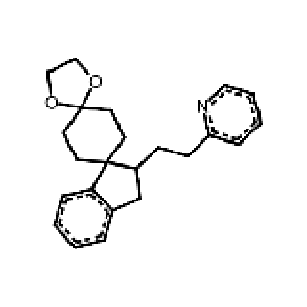 c1ccc(CCC2Cc3ccccc3C23CCC2(CC3)OCCO2)nc1